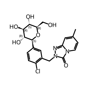 Cc1ccn2c(=O)n(Cc3cc([C@@H]4O[C@H](CO)[C@@H](O)[C@H](O)[C@H]4O)ccc3Cl)nc2c1